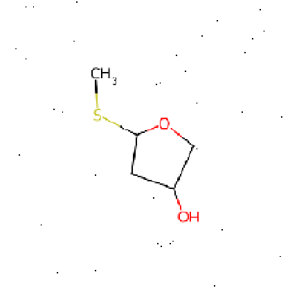 CSC1CC(O)CO1